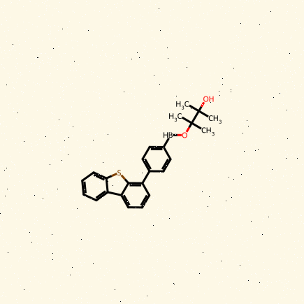 CC(C)(O)C(C)(C)OBc1ccc(-c2cccc3c2sc2ccccc23)cc1